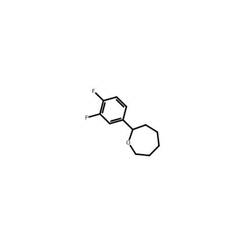 Fc1ccc(C2CCCCCO2)cc1F